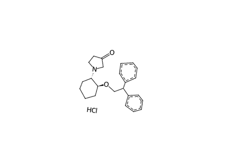 Cl.O=C1CCN([C@H]2CCCC[C@@H]2OCC(c2ccccc2)c2ccccc2)C1